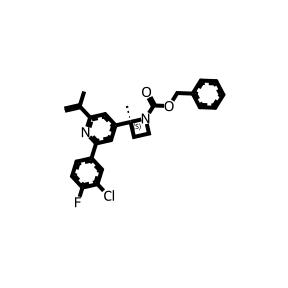 C=C(C)c1cc([C@]2(C)CCN2C(=O)OCc2ccccc2)cc(-c2ccc(F)c(Cl)c2)n1